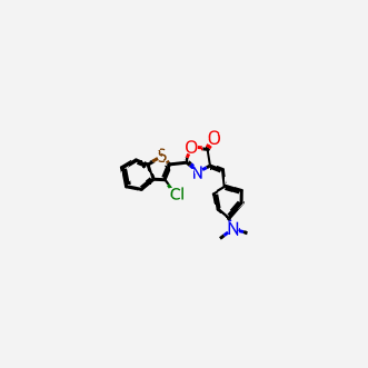 CN(C)c1ccc(C=C2N=C(c3sc4ccccc4c3Cl)OC2=O)cc1